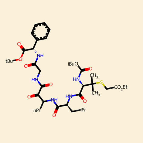 CCCC(NC(=O)[C@H](CC(C)C)NC(=O)[C@@H](NC(=O)OCC(C)C)C(C)(C)SCC(=O)OCC)C(=O)C(=O)NCC(=O)N[C@H](C(=O)OC(C)(C)C)c1ccccc1